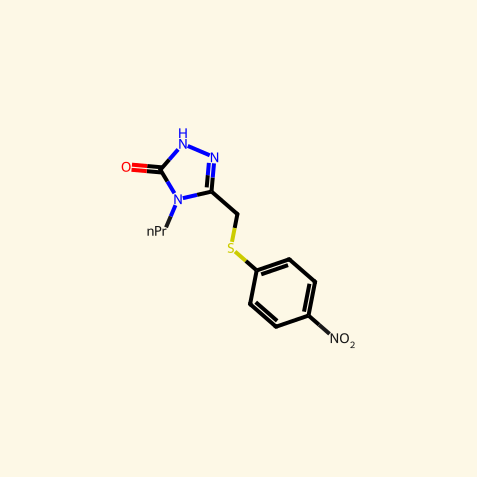 CCCn1c(CSc2ccc([N+](=O)[O-])cc2)n[nH]c1=O